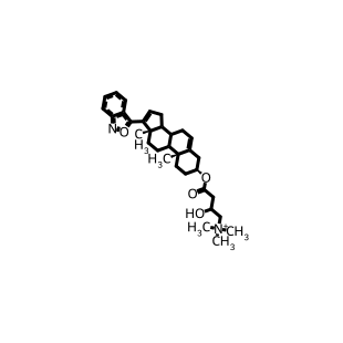 C[C@]12CC[C@H](OC(=O)CC(O)C[N+](C)(C)C)CC1=CCC1C2CC[C@]2(C)C(c3onc4ccccc34)=CCC12